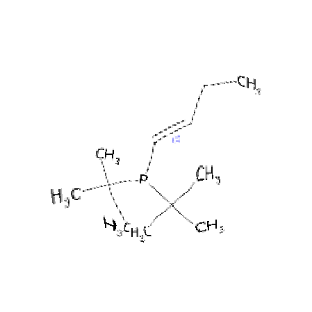 CC/C=C/P(C(C)(C)C)C(C)(C)C